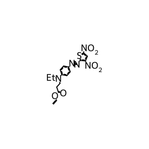 C=COC(=O)CCN(CC)c1ccc(/N=N/c2sc([N+](=O)[O-])cc2[N+](=O)[O-])cc1